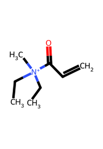 C=CC(=O)[N+](C)(CC)CC